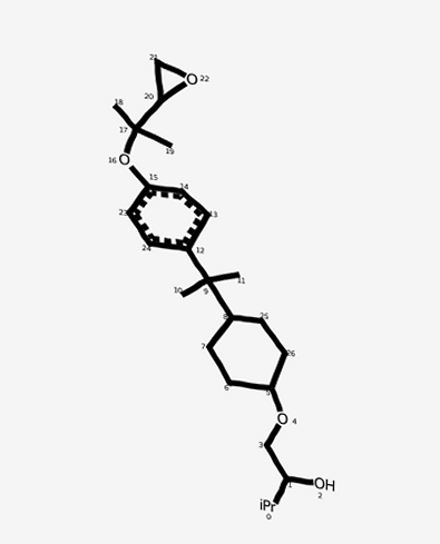 CC(C)C(O)COC1CCC(C(C)(C)c2ccc(OC(C)(C)C3CO3)cc2)CC1